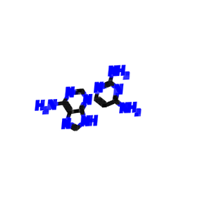 Nc1ccnc(N)n1.Nc1ncnc2[nH]cnc12